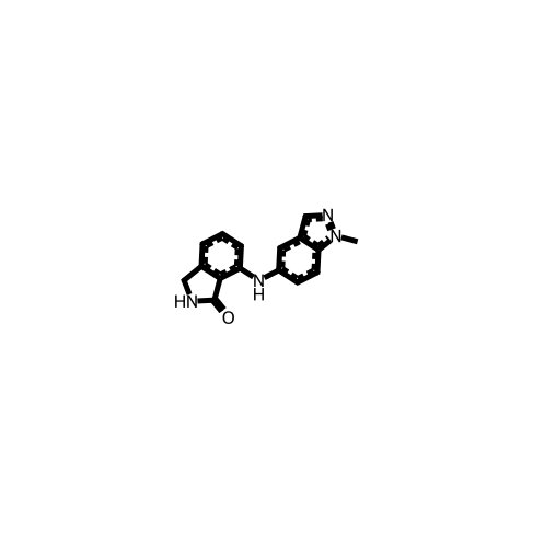 Cn1ncc2cc(Nc3cccc4c3C(=O)NC4)ccc21